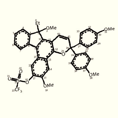 CCC1(OC)c2ccccc2-c2c1c1c(c3cc(OC)c(OS(=O)(=O)C(F)(F)F)cc23)OC(c2ccc(OC)cc2)(c2ccc(OC)cc2)C=C1